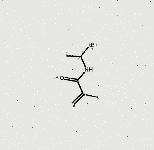 C=C(C)C(=O)NC(C)C(C)(C)C